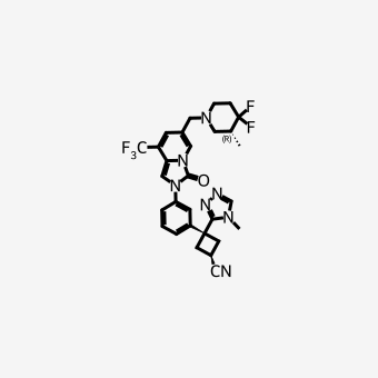 C[C@@H]1CN(Cc2cc(C(F)(F)F)c3cn(-c4cccc([C@]5(c6nncn6C)C[C@H](C#N)C5)c4)c(=O)n3c2)CCC1(F)F